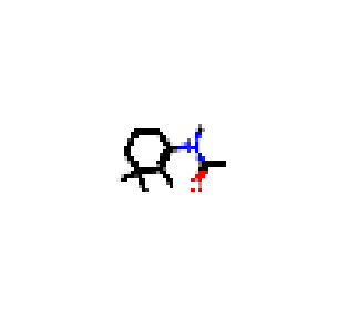 CC(=O)N(C)C1=C(C)C(C)(C)CCC1